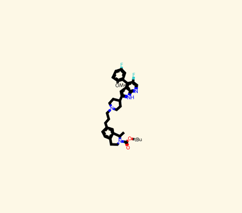 COc1ccc(F)cc1-c1c(F)cnc2[nH]c(C3CCN(CCCc4ccc5c(c4)C(C)N(C(=O)OC(C)(C)C)CC5)CC3)cc12